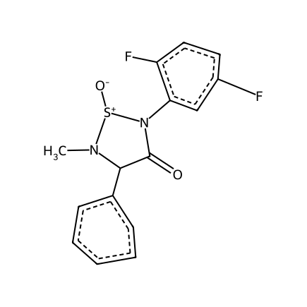 CN1C(c2ccccc2)C(=O)N(c2cc(F)ccc2F)[S+]1[O-]